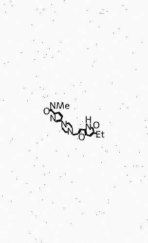 CCc1cc2oc(CN3CCN(c4ccc(C(=O)NC)nc4)CC3)cc2[nH]c1=O